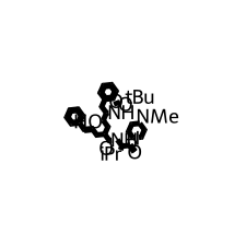 CNC1CCN(C(=O)C(NC(=O)C(CC=Cc2ccccc2)CC(O)C(Cc2ccccc2)NC(=O)OC(C)(C)C)C(C)C)CC1